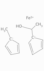 CC(O)[c-]1cccc1.C[c-]1cccc1.[Fe+2]